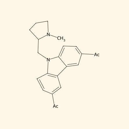 CC(=O)c1ccc2c(c1)c1cc(C(C)=O)ccc1n2CC1CCCN1C